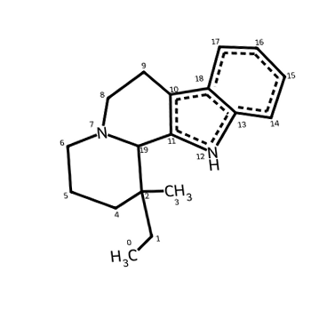 CCC1(C)CCCN2CCc3c([nH]c4ccccc34)C21